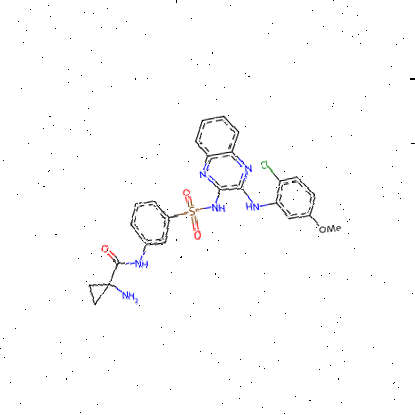 COc1ccc(Cl)c(Nc2nc3ccccc3nc2NS(=O)(=O)c2cccc(NC(=O)C3(N)CC3)c2)c1